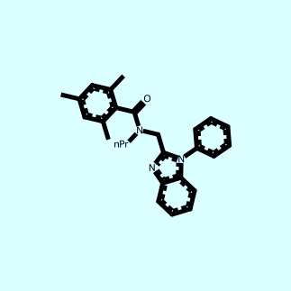 CCCN(Cc1nc2ccccc2n1-c1ccccc1)C(=O)c1c(C)cc(C)cc1C